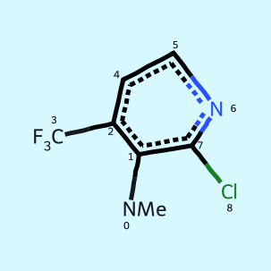 CNc1c(C(F)(F)F)ccnc1Cl